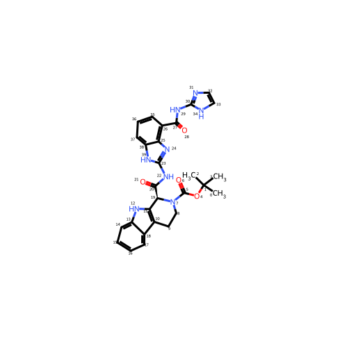 CC(C)(C)OC(=O)N1CCc2c([nH]c3ccccc23)[C@H]1C(=O)Nc1nc2c(C(=O)Nc3ncc[nH]3)cccc2[nH]1